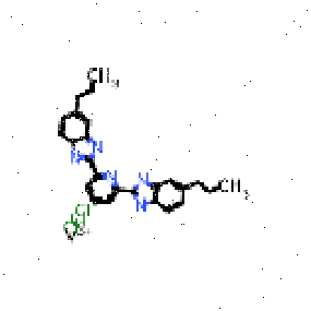 CCCC1=CC2=NC(c3cccc(C4=NC5C=CC(CCC)=CC5=N4)n3)=NC2C=C1.[Cl-].[Cl-].[Cl-].[V+3]